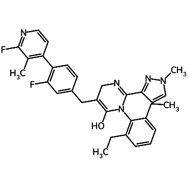 CCc1cccc(CC)c1N1C(c2ccn(C)n2)=NCC(Cc2ccc(-c3ccnc(F)c3C)c(F)c2)=C1O